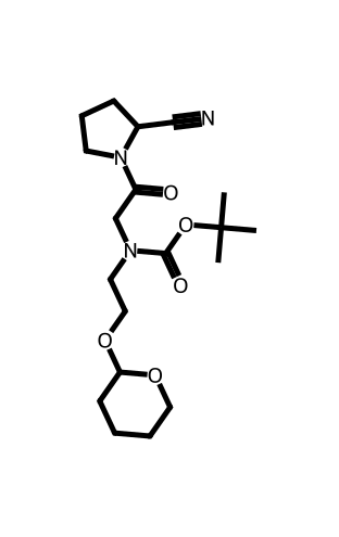 CC(C)(C)OC(=O)N(CCOC1CCCCO1)CC(=O)N1CCCC1C#N